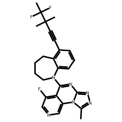 Cc1nnc2nc(N3CCCCc4c(C#CC(C)(C)C(C)(F)F)cccc43)c3c(F)cncc3n12